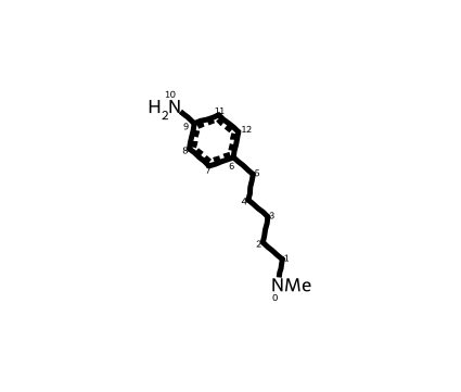 CNCCCCCc1ccc(N)cc1